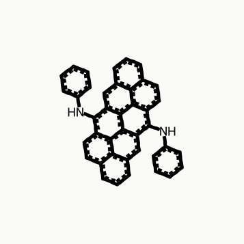 c1ccc(Nc2c3ccc4cccc5cc6c(Nc7ccccc7)c7ccc8cccc9cc2c(c7c89)c6c3c45)cc1